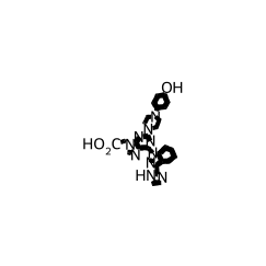 O=C(O)Cn1cnc2c(-n3nc(-c4ncc[nH]4)c4ccccc43)nc(N3CCN(c4ccc(O)cc4)CC3)nc21